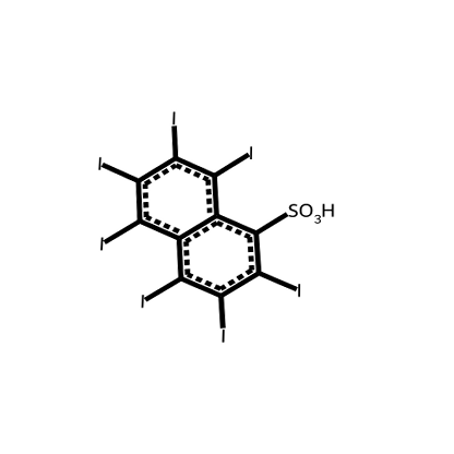 O=S(=O)(O)c1c(I)c(I)c(I)c2c(I)c(I)c(I)c(I)c12